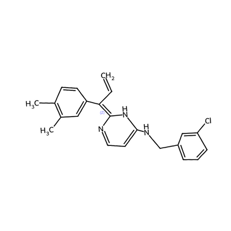 C=C/C(=C1/N=CC=C(NCc2cccc(Cl)c2)N1)c1ccc(C)c(C)c1